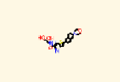 N#C/C(=C\c1ccc(-c2ccc3cc(N4CCOCC4)ccc3c2)s1)C(=O)NCC(O)CO